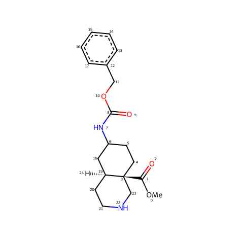 COC(=O)[C@]12CCC(NC(=O)OCc3ccccc3)C[C@@H]1CCNC2